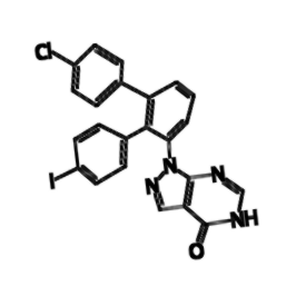 O=c1[nH]cnc2c1cnn2-c1cccc(-c2ccc(Cl)cc2)c1-c1ccc(I)cc1